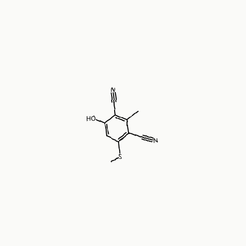 CSc1cc(O)c(C#N)c(C)c1C#N